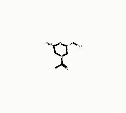 CC(=O)N1CCO[C@H](CN)C1.Cl.N